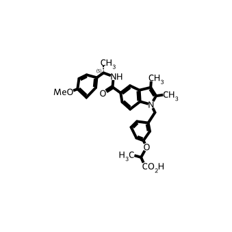 COc1ccc([C@H](C)NC(=O)c2ccc3c(c2)c(C)c(C)n3Cc2cccc(OC(C)C(=O)O)c2)cc1